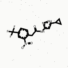 O=C(Cc1ccc(C(F)(F)F)cc1[N+](=O)[O-])Nc1cc(C2CC2)[nH]n1